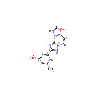 Cc1cc(O)cc(-c2ncn(/C=C\c3nnco3)n2)c1